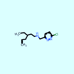 C=CCC(CC)CCNCc1ccc(Cl)nn1